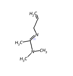 C=CC/N=C(\C)N(C)C